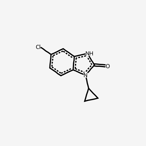 O=c1[nH]c2cc(Cl)ccc2n1C1CC1